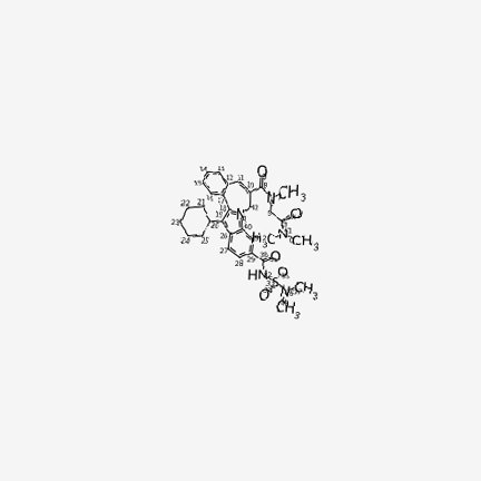 CN(C)C(=O)CN(C)C(=O)C1=Cc2ccccc2-c2c(C3CCCCC3)c3ccc(C(=O)NS(=O)(=O)N(C)C)cc3n2C1